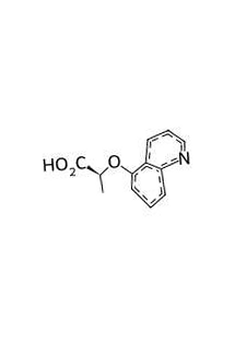 C[C@H](Oc1cccc2ncccc12)C(=O)O